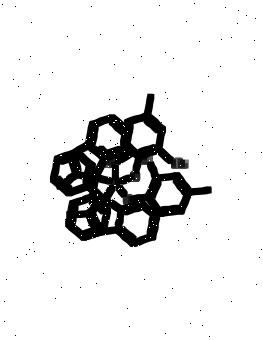 CC1=Cc2ccccc2[C]1(c1ccccc1)[Zr]([O]c1ccc(C)cc1C(C)(C)C)([O]c1ccc(C)cc1C(C)(C)C)([SiH](C)C)[C]1(c2ccccc2)C(C)=Cc2ccccc21